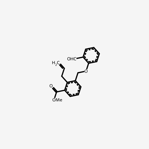 C=CCc1c(COc2ccccc2C=O)cccc1C(=O)OC